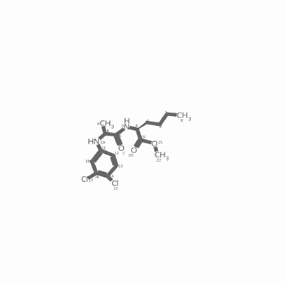 CCCC[C@H](NC(=O)C(C)Nc1ccc(Cl)c(Cl)c1)C(=O)OC